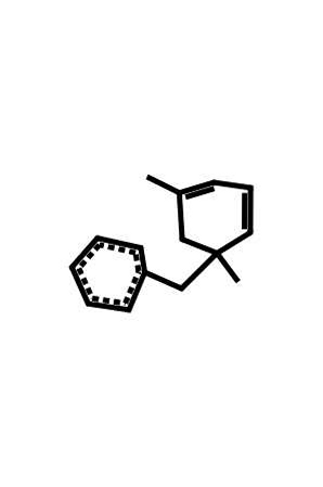 CC1=CC=CC(C)(Cc2ccccc2)C1